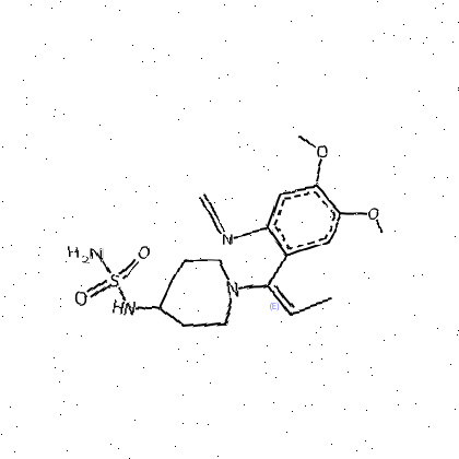 C=Nc1cc(OC)c(OC)cc1/C(=C\C)N1CCC(NS(N)(=O)=O)CC1